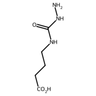 NNC(=O)NCCCC(=O)O